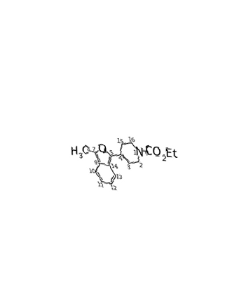 CCOC(=O)N1CC=C(c2oc(C)c3ccccc23)CC1